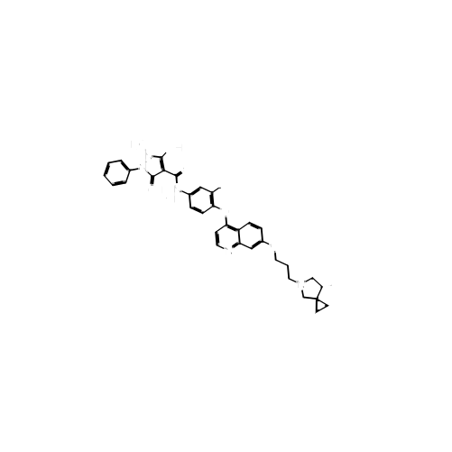 C=C1C(C(=O)Nc2ccc(Oc3ccnc4cc(OCCCN5C[C@H](O)C6(CC6)C5)ccc34)c(F)c2)=C(C)N(C)N1c1ccccc1